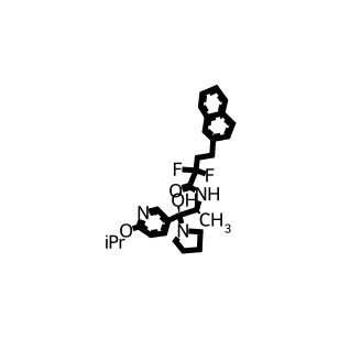 CC(C)Oc1ccc([C@@](O)([C@@H](C)NC(=O)C(F)(F)CCc2ccc3ccccc3c2)N2CCCC2)cn1